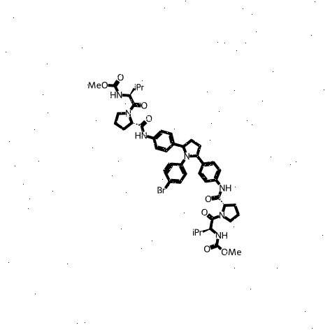 COC(=O)N[C@H](C(=O)N1CCC[C@H]1C(=O)Nc1ccc(C2CCC(c3ccc(NC(=O)[C@@H]4CCCN4C(=O)[C@@H](NC(=O)OC)C(C)C)cc3)N2c2c#cc(Br)cc2)cc1)C(C)C